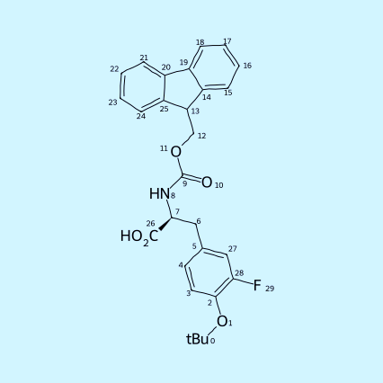 CC(C)(C)Oc1ccc(C[C@H](NC(=O)OCC2c3ccccc3-c3ccccc32)C(=O)O)cc1F